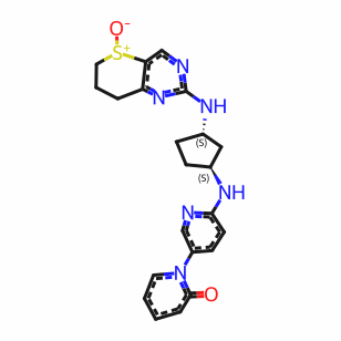 O=c1ccccn1-c1ccc(N[C@H]2CC[C@H](Nc3ncc4c(n3)CCC[S+]4[O-])C2)nc1